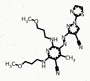 COCCCNc1nc(NCCCOC)c(/N=N/c2nn(-c3nccs3)cc2C#N)c(C)c1C#N